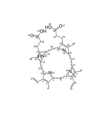 C=CC1=C(C)c2cc3c(C=C)c(C)c(cc4nc(cc5[nH]c(cc1n2)c(C)c5CCC(=O)O)C(CCC(=O)O)=C4C)n3C